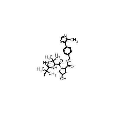 Cc1ncsc1-c1ccc(CNC(=O)C2CC(O)CN2C(=O)C(NC(=O)C(C)(C)I)C(C)(C)C)cc1